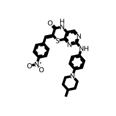 CC1CCN(c2ccc(Nc3ncc4c(n3)SC(=Cc3ccc([N+](=O)[O-])cc3)C(=O)N4)cc2)CC1